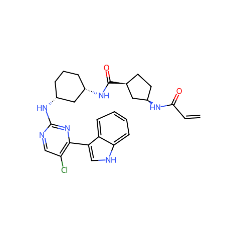 C=CC(=O)N[C@@H]1CC[C@H](C(=O)N[C@H]2CCC[C@@H](Nc3ncc(Cl)c(-c4c[nH]c5ccccc45)n3)C2)C1